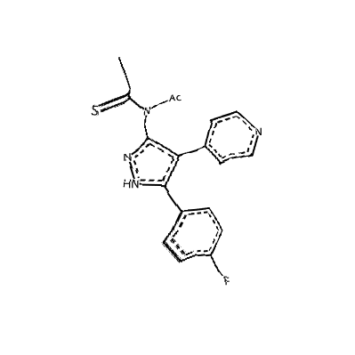 CC(=O)N(C(C)=S)c1n[nH]c(-c2ccc(F)cc2)c1-c1ccncc1